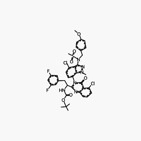 COc1ccc(CN(c2nn(C)c3c(-n4c(C(Cc5cc(F)cc(F)c5)NC(=O)OC(C)(C)C)nc5cccc(Cl)c5c4=O)ccc(Cl)c23)S(C)(=O)=O)cc1